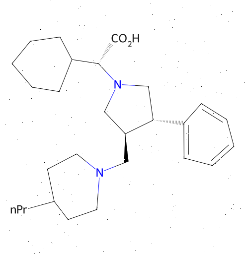 CCCC1CCN(C[C@H]2CN([C@@H](C(=O)O)C3CCCCC3)C[C@@H]2c2ccccc2)CC1